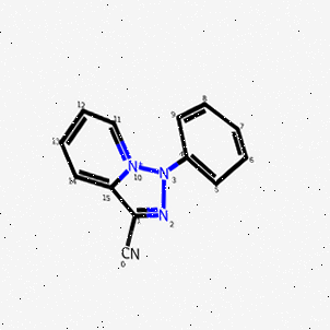 N#Cc1nn(-c2ccccc2)[n+]2ccccc12